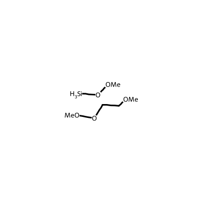 COCCOOC.COO[SiH3]